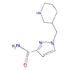 NC(=O)c1ccn(CC2CCCNC2)n1